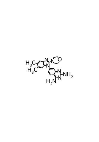 Cc1cc2nc(N3CCOCC3)n(-c3ccc4c(N)nc(N)nc4c3)c2cc1C